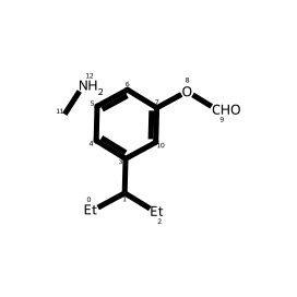 CCC(CC)c1cccc(OC=O)c1.CN